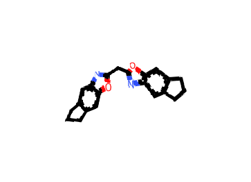 c1c2c(cc3oc(Cc4nc5cc6c(cc5o4)CCC6)nc13)CCC2